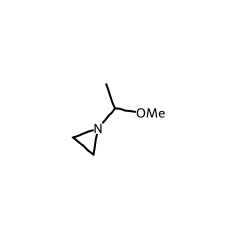 COC(C)N1CC1